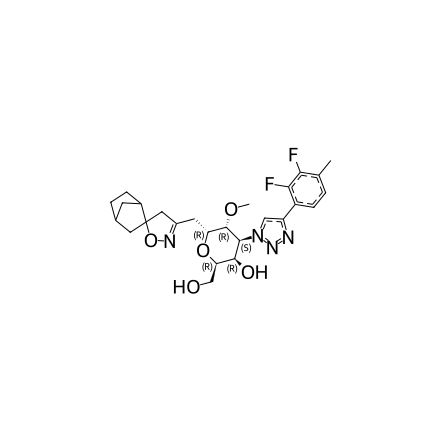 CO[C@@H]1[C@@H](n2cc(-c3ccc(C)c(F)c3F)nn2)[C@@H](O)[C@@H](CO)O[C@@H]1CC1=NOC2(C1)CC1CCC2C1